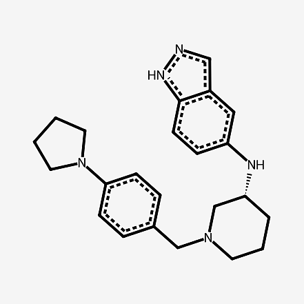 c1cc(N2CCCC2)ccc1CN1CCC[C@@H](Nc2ccc3[nH]ncc3c2)C1